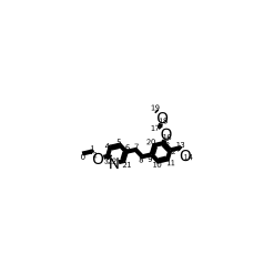 CCOc1ccc(CCc2ccc(C=O)c(OCOC)c2)cn1